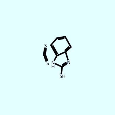 S=C=S.Sc1nc2ccccc2[nH]1